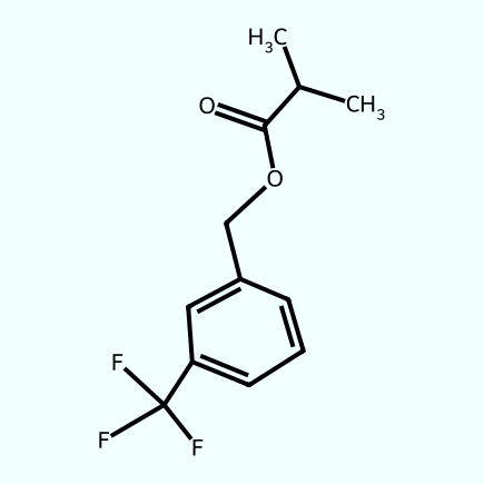 CC(C)C(=O)OCc1cccc(C(F)(F)F)c1